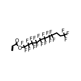 C=CC(=O)OC(F)(F)C(F)(F)C(F)(F)C(F)(F)C(F)(F)C(F)(F)C(F)(F)C(F)(F)CCC(F)(F)F